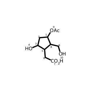 CC(=O)OC1CC(O)C(CC(=O)O)C1CO